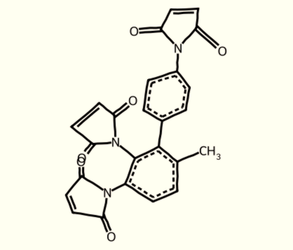 Cc1ccc(N2C(=O)C=CC2=O)c(N2C(=O)C=CC2=O)c1-c1ccc(N2C(=O)C=CC2=O)cc1